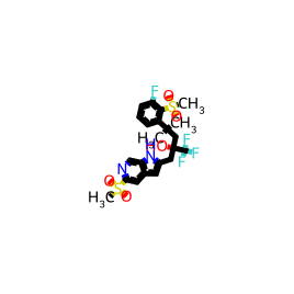 CC(C)(CC(O)(Cc1cc2cc(S(C)(=O)=O)ncc2[nH]1)C(F)(F)F)c1cccc(F)c1S(C)(=O)=O